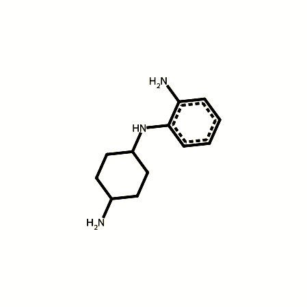 Nc1ccccc1NC1CCC(N)CC1